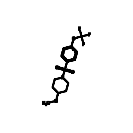 COC1CCN(S(=O)(=O)c2ccc(OC(F)(F)F)cc2)CC1